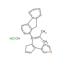 C[C](C)=[Zr]([C]1=C(c2ccsc2)C=CC1)[c]1cccc2c1Cc1ccccc1-2.Cl.Cl